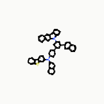 C1=c2sc3cc(N(c4ccc(-c5cc(-c6ccc7ccccc7c6)cc(-n6c7ccccc7c7cc8ccccc8cc76)c5)cc4)c4ccc5ccccc5c4)ccc3c2=CCC1